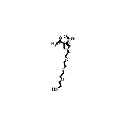 NCCOCCOCCOCCn1cc([N+](=O)[O-])c(C(N)=O)n1